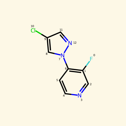 Fc1cnccc1-n1cc(Cl)cn1